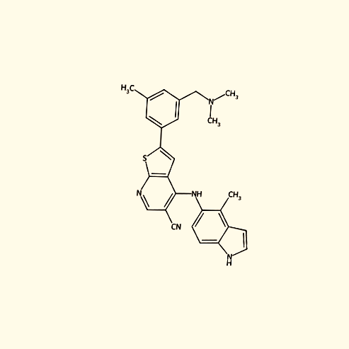 Cc1cc(CN(C)C)cc(-c2cc3c(Nc4ccc5[nH]ccc5c4C)c(C#N)cnc3s2)c1